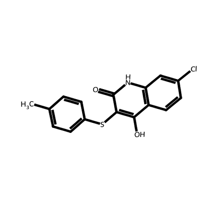 Cc1ccc(Sc2c(O)c3ccc(Cl)cc3[nH]c2=O)cc1